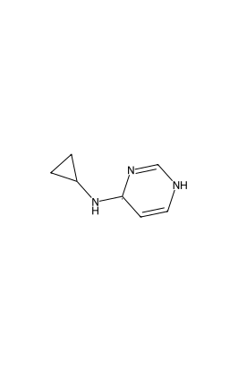 C1=C[C](NC2CC2)N=CN1